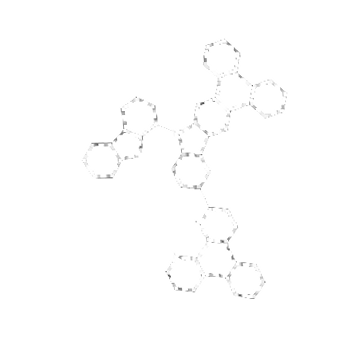 c1ccc2c(c1)oc1c(-n3c4ccc(-c5ccc6c7ccccc7c7cccnc7c6n5)cc4c4cc5c6ccccc6c6ccccc6c5cc43)cccc12